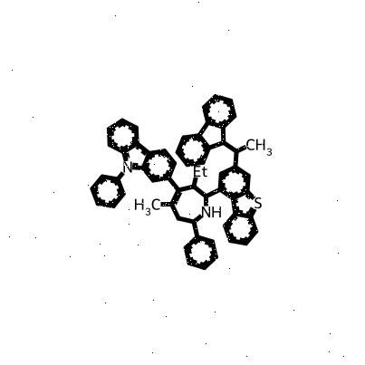 CCC1C(c2ccc3c4ccccc4n(-c4ccccc4)c3c2)=C(C)CC(c2ccccc2)NC1c1cc(C(C)C2c3ccccc3-c3ccccc32)cc2sc3ccccc3c12